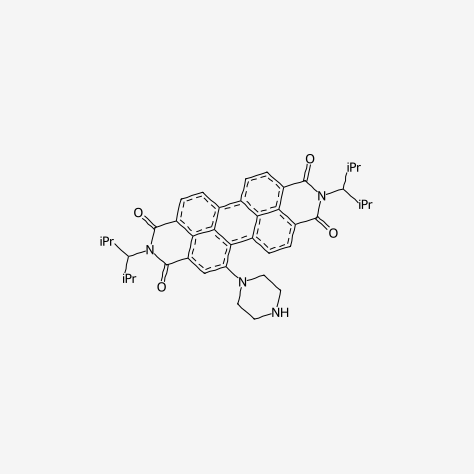 CC(C)C(C(C)C)N1C(=O)c2ccc3c4ccc5c6c(cc(N7CCNCC7)c(c7ccc(c2c37)C1=O)c64)C(=O)N(C(C(C)C)C(C)C)C5=O